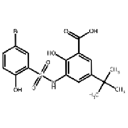 CC(C)(C)c1cc(NS(=O)(=O)c2cc(Br)ccc2O)c(O)c(C(=O)O)c1